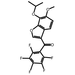 COc1ccc2c(C(=O)c3c(F)c(F)c(F)c(F)c3F)coc2c1OC(C)C